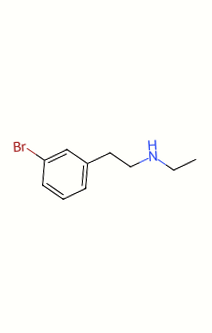 CCNCCc1cccc(Br)c1